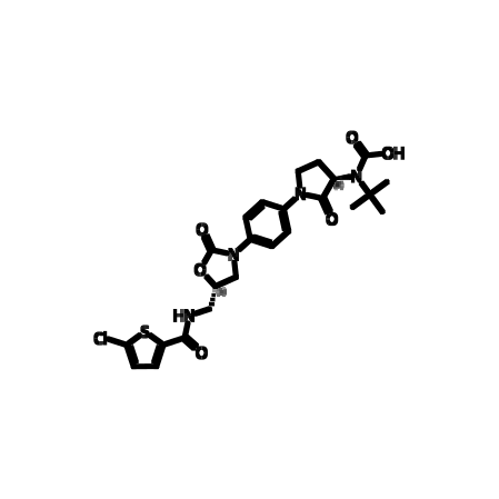 CC(C)(C)N(C(=O)O)[C@@H]1CCN(c2ccc(N3C[C@H](CNC(=O)c4ccc(Cl)s4)OC3=O)cc2)C1=O